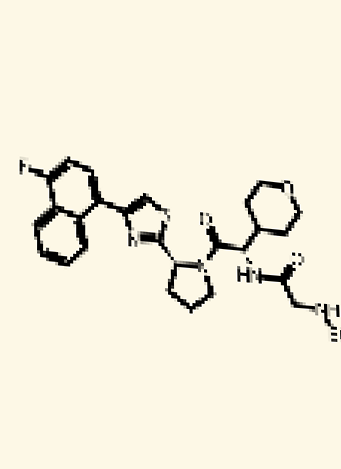 CCNCC(=O)N[C@H](C(=O)N1CCC[C@H]1c1nc(-c2ccc(F)c3ccccc23)cs1)C1CCOCC1